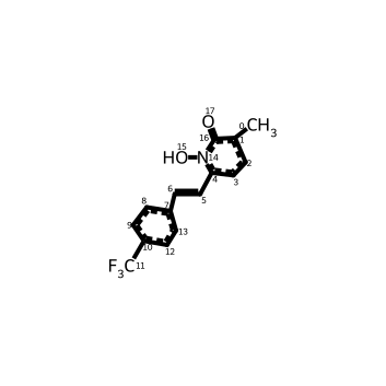 Cc1ccc(C=Cc2ccc(C(F)(F)F)cc2)n(O)c1=O